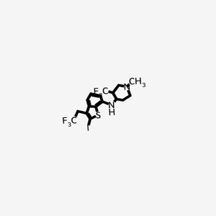 CN1CCC(Nc2cccc3c(CC(F)(F)F)c(I)sc23)C(C(F)(F)F)C1